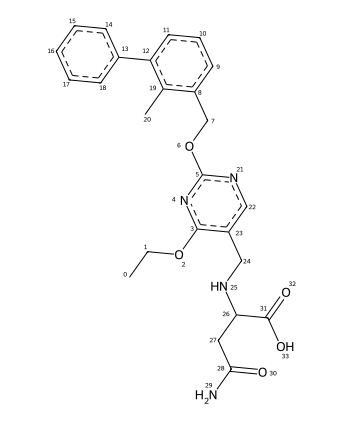 CCOc1nc(OCc2cccc(-c3ccccc3)c2C)ncc1CNC(CC(N)=O)C(=O)O